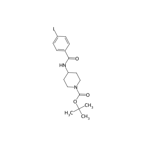 CC(C)(C)OC(=O)N1CCC(NC(=O)c2ccc(I)cc2)CC1